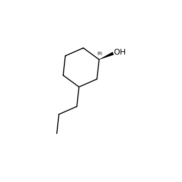 CCCC1CCC[C@@H](O)C1